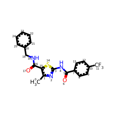 Cc1nc(NC(=O)c2ccc(C(F)(F)F)cc2)sc1C(=O)NCc1ccccc1